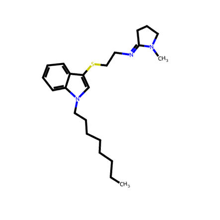 CCCCCCCCn1cc(SCCN=C2CCCN2C)c2ccccc21